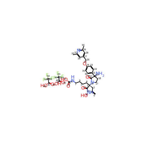 C=CC[C@](CCCCNC(=O)O)(C(=O)NO)N1CCC(N)(c2ccc(OCc3cc(C)nc(C)c3)cc2)C1=O.O=C(O)C(F)(F)F.O=C(O)C(F)(F)F